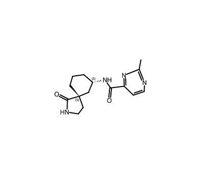 Cc1nccc(C(=O)N[C@H]2CCC[C@]3(CCNC3=O)C2)n1